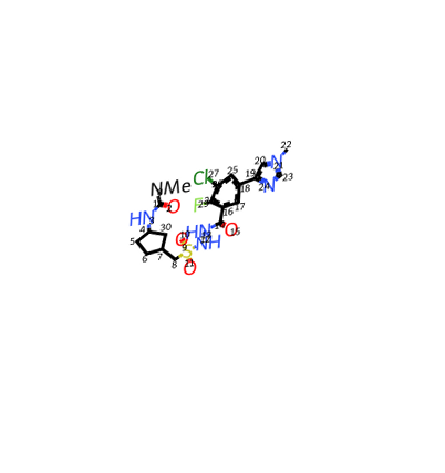 CNC(=O)NC1CCC(CS(=O)(=O)NNC(=O)c2cc(-c3cn(C)cn3)cc(Cl)c2F)C1